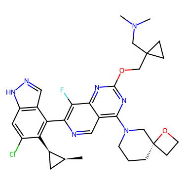 C[C@H]1C[C@H]1c1c(Cl)cc2[nH]ncc2c1-c1ncc2c(N3CCC[C@]4(CCO4)C3)nc(OCC3(CN(C)C)CC3)nc2c1F